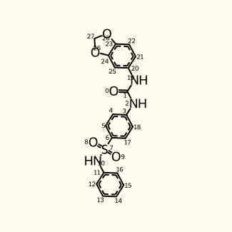 O=C(Nc1ccc(S(=O)(=O)Nc2ccccc2)cc1)Nc1ccc2c(c1)OCO2